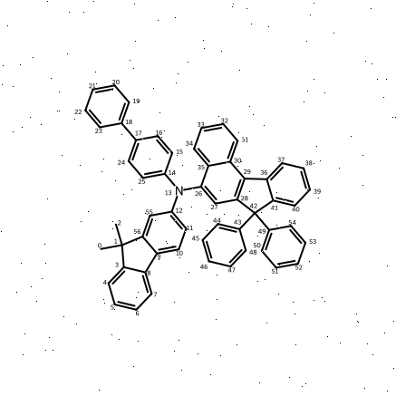 CC1(C)c2ccccc2-c2ccc(N(c3ccc(-c4ccccc4)cc3)c3cc4c(c5ccccc35)-c3ccccc3C4(c3ccccc3)c3ccccc3)cc21